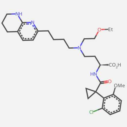 CCOCCN(CCCCc1ccc2c(n1)NCCC2)CC[C@H](NC(=O)C1(c2c(Cl)cccc2OC)CC1)C(=O)O